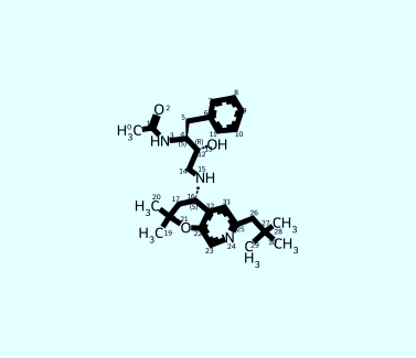 CC(=O)N[C@@H](Cc1ccccc1)[C@H](O)CN[C@H]1CC(C)(C)Oc2cnc(CC(C)(C)C)cc21